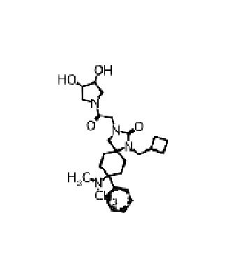 CN(C)C1(c2ccccc2)CCC2(CC1)CN(CC(=O)N1C[C@@H](O)[C@@H](O)C1)C(=O)N2CC1CCC1